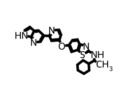 CC(Nc1nc2ccc(Oc3ccnc(-c4cnc5[nH]ccc5c4)c3)cc2s1)C1CCCCC1